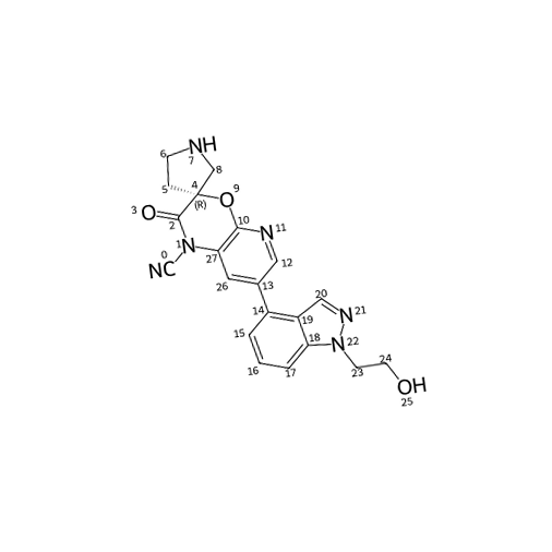 N#CN1C(=O)[C@]2(CCNC2)Oc2ncc(-c3cccc4c3cnn4CCO)cc21